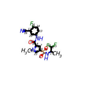 CC(NS(=O)(=O)c1cc(C(=O)Nc2ccc(F)c(C#N)c2)n(C)c1)C(F)F